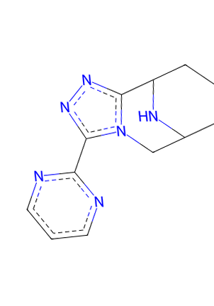 c1cnc(-c2nnc3n2CC2CCCC3N2)nc1